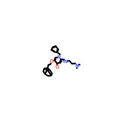 CN(C)CCCNCc1cc(=O)c(OCCC2C3CC4CC(C3)CC2C4)cn1Cc1ccccc1